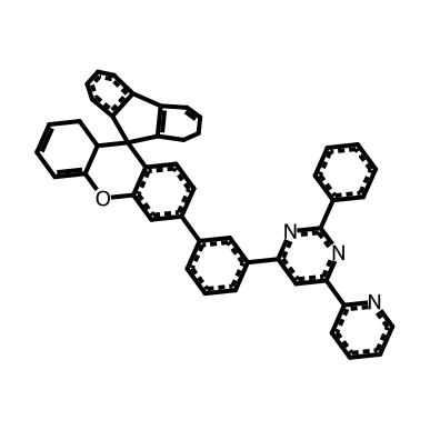 C1=CCC2C(=C1)Oc1cc(-c3cccc(-c4cc(-c5ccccn5)nc(-c5ccccc5)n4)c3)ccc1C21C2=C(C=CCC2)c2ccccc21